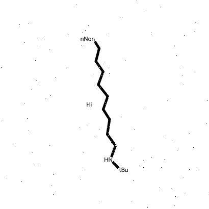 CCCCCCCCCCCCCCCCCCNC(C)(C)C.I